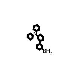 Bc1cccc(-c2cccc(N(c3ccccc3)c3ccccc3)c2)c1